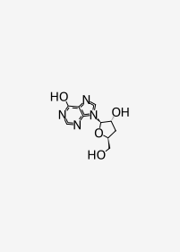 OC[C@@H]1C[C@@H](O)[C@H](n2cnc3c(O)ncnc32)O1